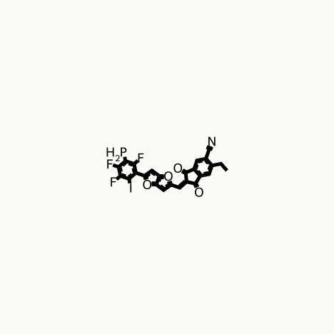 CCc1cc2c(cc1C#N)C(=O)/C(=C\c1cc3oc(-c4c(F)c(P)c(F)c(F)c4I)cc3o1)C2=O